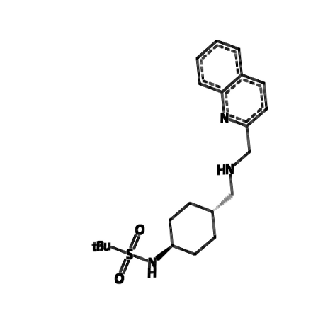 CC(C)(C)S(=O)(=O)N[C@H]1CC[C@H](CNCc2ccc3ccccc3n2)CC1